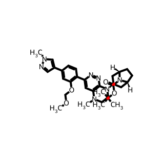 COCOc1cc(-c2cnn(C)c2)ccc1-c1cc2c(nn1)N([C@@H]1C[C@H]3CC[C@@H](C1)N3C(=O)OC(C)(C)C)CCN2C